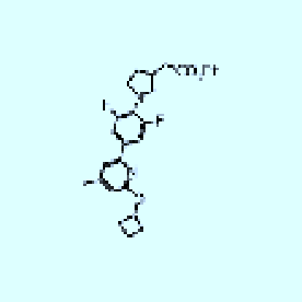 CCOC(=O)CC1CCN(c2c(F)cc(-c3cc(C)cc(OC4CCC4)n3)cc2F)C1